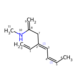 C=C/C(=C\C=C/C)CC(=C)NC